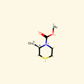 CC(C)(C)OC(=O)N1CCSC[C@H]1C=O